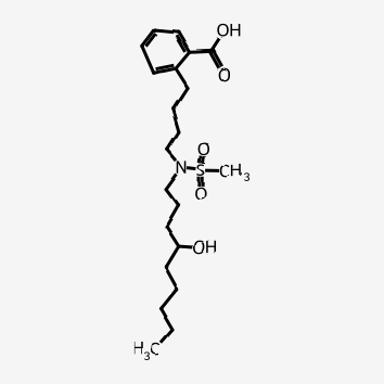 CCCCCC(O)CCCN(CCCCc1ccccc1C(=O)O)S(C)(=O)=O